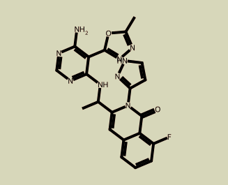 Cc1nnc(-c2c(N)ncnc2NC(C)c2cc3cccc(F)c3c(=O)n2-c2cc[nH]n2)o1